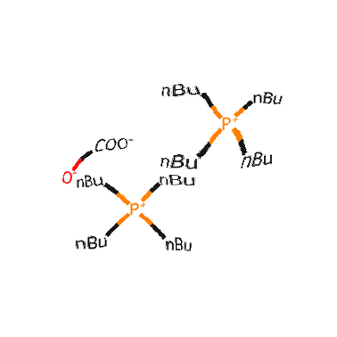 CCCC[P+](CCCC)(CCCC)CCCC.CCCC[P+](CCCC)(CCCC)CCCC.O=C([O-])[O-]